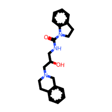 O=C(NCC(O)CN1CCc2ccccc2C1)N1CCc2ccccc21